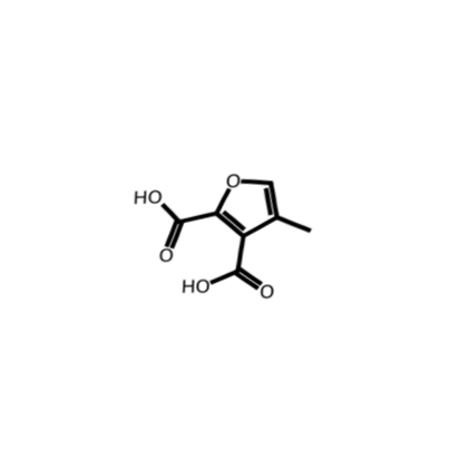 Cc1coc(C(=O)O)c1C(=O)O